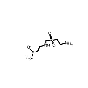 C[S+]([O-])CCNCS(=O)(=O)CCN